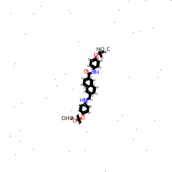 CC(C)(OC=O)Oc1ccc(NCc2ccc3cc(C(=O)Nc4ccc(OC(C)(C)C(=O)O)cc4)ccc3c2)cc1